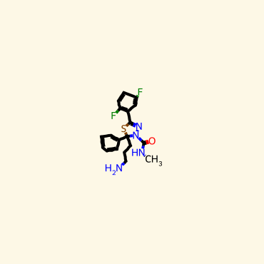 CNC(=O)N1N=C(c2cc(F)ccc2F)SC1(CCCN)c1ccccc1